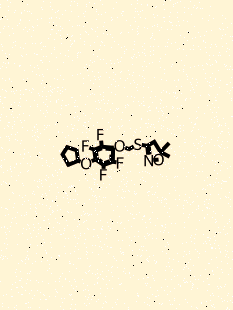 CC1(C)CC(SCOc2c(F)c(F)c(OC3CCCC3)c(F)c2F)=NO1